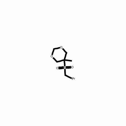 CC(C)CS(=O)(=O)C1(C)COCOC1